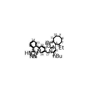 CCCCc1cn(C2C(CC)CCCCCC2C(C)C)c(=O)n1Cc1ccc(-c2ccccc2-c2nnn[nH]2)nc1